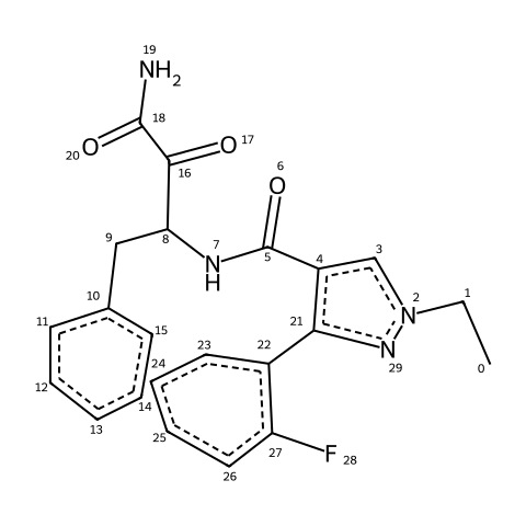 CCn1cc(C(=O)NC(Cc2ccccc2)C(=O)C(N)=O)c(-c2ccccc2F)n1